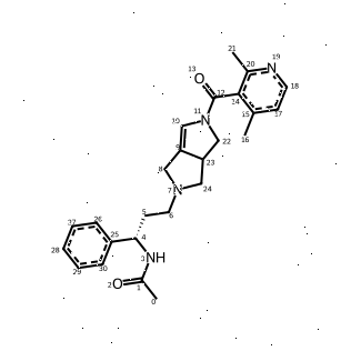 CC(=O)N[C@@H](CCN1CC2=CN(C(=O)c3c(C)ccnc3C)CC2C1)c1ccccc1